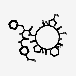 C[C@@H]1C[C@H]2C(=O)OC[C@H](NC(=O)[C@H](Cc3ccccc3)NC(=O)Nc3ccc(OC(F)(F)F)cc3)C(=O)N3CCC[C@H]3C(=O)N3CCCC[C@H]3C(=O)N[C@@H](C)C(=O)N2C1